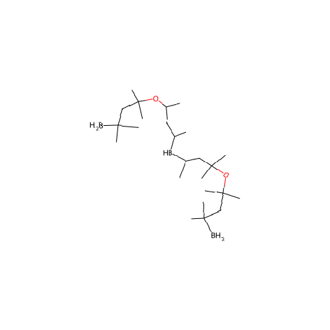 BC(C)(C)CC(C)(C)OC(C)CC(C)BC(C)CC(C)(C)OC(C)(C)CC(B)(C)C